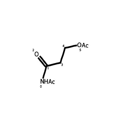 CC(=O)NC(=O)CCOC(C)=O